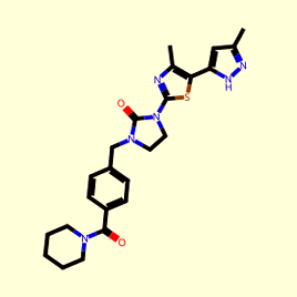 Cc1cc(-c2sc(N3CCN(Cc4ccc(C(=O)N5CCCCC5)cc4)C3=O)nc2C)[nH]n1